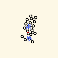 c1ccc(-c2cccc(-c3nc(-c4ccccc4)nc(-c4cc5c6ccccc6c6cc(-c7cccc(-c8ccccc8)c7-c7nc(-c8cccc(-c9cccc(-c%10cc%11c%12ccccc%12c%12ccccc%12c%11c%11ccccc%10%11)c9)c8)nc(-c8ccccc8-c8ccccc8)n7)ccc6c5c5ccccc45)n3)c2)cc1